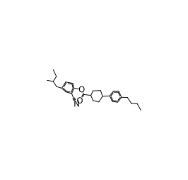 CCCCc1ccc(C2CCC(C(=O)Oc3ccc(CC(C)CC)cc3C#N)CC2)cc1